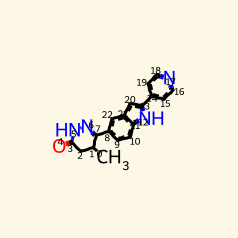 CC1CC(=O)NN=C1c1ccc2[nH]c(-c3ccncc3)cc2c1